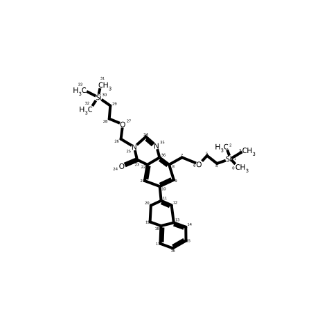 C[Si](C)(C)CCOCc1cc(C2=Cc3ccccc3CC2)cc2c(=O)n(COCC[Si](C)(C)C)cnc12